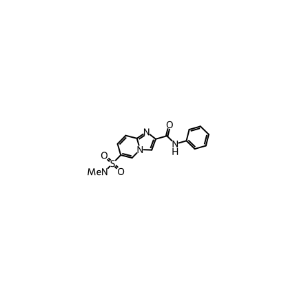 CNS(=O)(=O)c1ccc2nc(C(=O)Nc3ccccc3)cn2c1